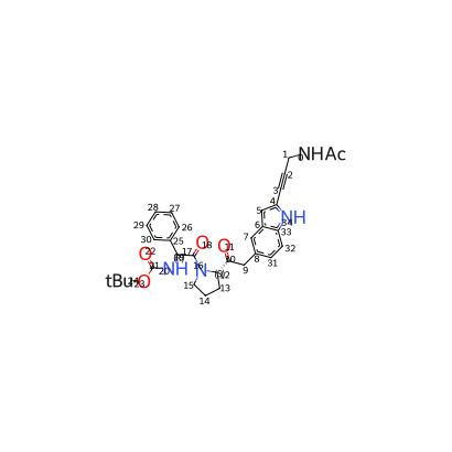 CC(=O)NCC#Cc1cc2cc(CC(=O)[C@@H]3CCCN3C(=O)[C@H](NC(=O)OC(C)(C)C)c3ccccc3)ccc2[nH]1